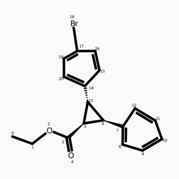 CCOC(=O)[C@@H]1[C@H](c2ccccc2)[C@H]1c1ccc(Br)cc1